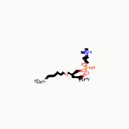 CCCCCCCCCCCCCCCOCC(COP(O)OCCC[N+](C)(C)C)CC(=O)CCC